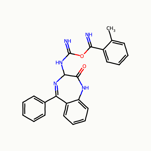 Cc1ccccc1C(=N)OC(=N)NC1N=C(c2ccccc2)c2ccccc2NC1=O